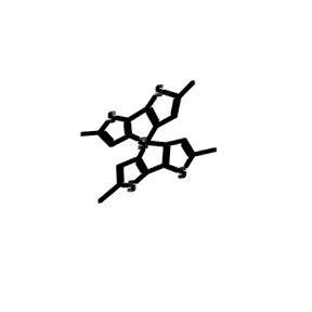 Cc1cc2c(s1)-c1sc(C)cc1[Si]21c2cc(C)sc2-c2sc(C)cc21